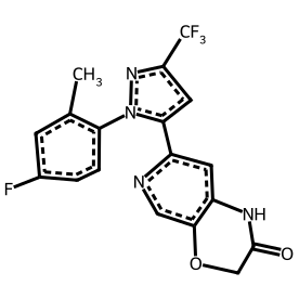 Cc1cc(F)ccc1-n1nc(C(F)(F)F)cc1-c1cc2c(cn1)OCC(=O)N2